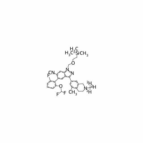 [2H]C([2H])([2H])N1CCc2c(C)cc(-c3nn(COCC[Si](C)(C)C)c4cc([N+]#[C-])c(-c5c(F)cccc5OC(F)F)cc34)cc2C1